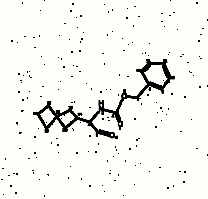 O=CC(NC(=O)OCc1ccccc1)C1CC2(CCC2)C1